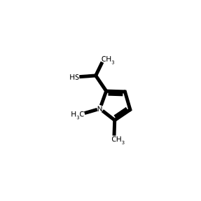 Cc1ccc(C(C)S)n1C